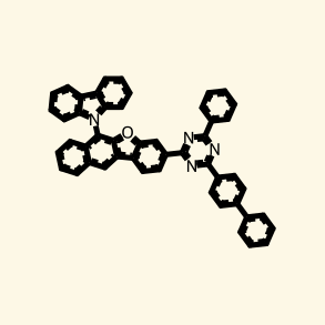 c1ccc(-c2ccc(-c3nc(-c4ccccc4)nc(-c4ccc5c(c4)oc4c(-n6c7ccccc7c7ccccc76)c6ccccc6cc45)n3)cc2)cc1